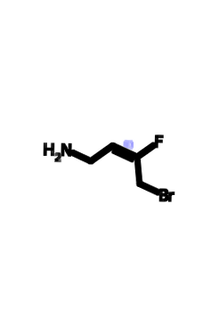 NC/C=C(/F)CBr